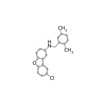 Cc1ccc(C)c(CNc2ccc3oc4ccc(Cl)cc4c3c2)c1